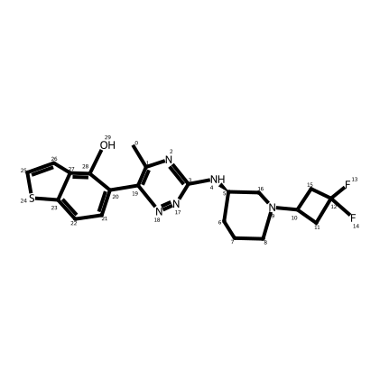 Cc1nc(N[C@@H]2CCCN(C3CC(F)(F)C3)C2)nnc1-c1ccc2sccc2c1O